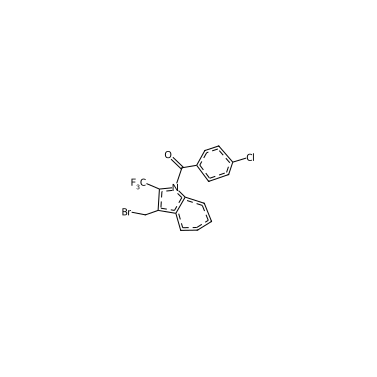 O=C(c1ccc(Cl)cc1)n1c(C(F)(F)F)c(CBr)c2ccccc21